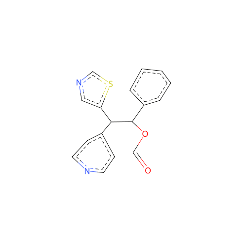 O=COC(c1ccccc1)C(c1ccncc1)c1cncs1